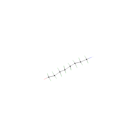 NC(F)(F)C(F)(F)C(F)(F)C(F)(F)C(F)(F)C(F)(F)C(F)(F)C(O)(F)F